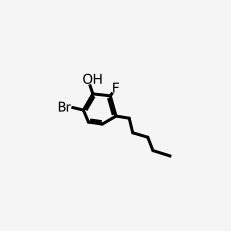 CCCCCc1ccc(Br)c(O)c1F